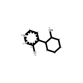 OC1CCCCC1c1ccnnc1Cl